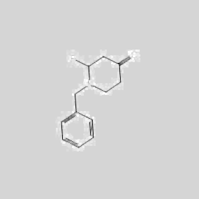 O=C1CCN(Cc2ccccc2)C(F)C1